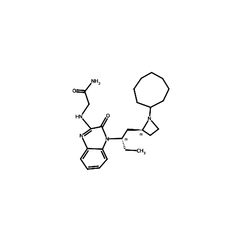 CC[C@@H](C[C@@H]1CCN1C1CCCCCCC1)n1c(=O)c(NCC(N)=O)nc2ccccc21